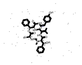 CN[C@H](C(=O)O[C@@H](c1ccccc1)[C@@H](NC(=O)C(NC(=O)[C@@H]([C@@H](O)c1ccccc1)N(C)C)=C(C)C)C(=O)N/C=C\c1ccc(O)cc1)C(C)C